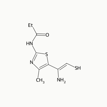 CCC(=O)Nc1nc(C)c(/C(N)=C/S)s1